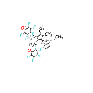 CCCC1=[C]([Zr+2][C]2=C(C)C(C)=C(C)C2C)CC=C1.[O-]c1c(F)c(F)c(F)c(F)c1F.[O-]c1c(F)c(F)c(F)c(F)c1F